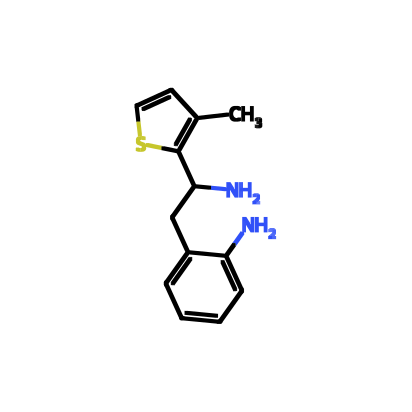 Cc1ccsc1C(N)Cc1ccccc1N